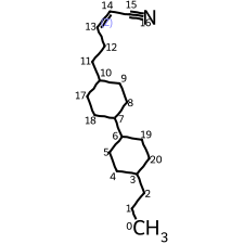 CCCC1CCC(C2CCC(CC/C=C\C#N)CC2)CC1